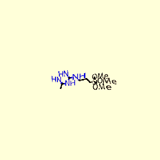 CO[Si](CCCNC(=N)NC(C)=N)(OC)OC